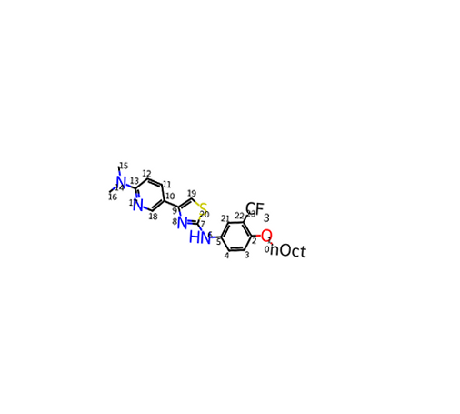 CCCCCCCCOc1ccc(Nc2nc(-c3ccc(N(C)C)nc3)cs2)cc1C(F)(F)F